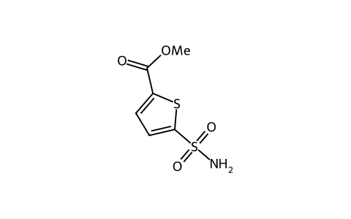 COC(=O)c1ccc(S(N)(=O)=O)s1